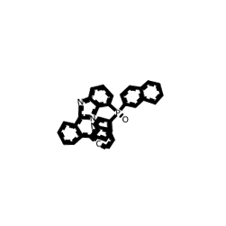 O=P(c1cccnc1)(c1ccc2ccccc2c1)c1cccc2nc3c4ccccc4c4ccccc4n3c12